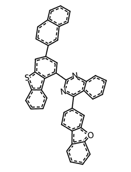 c1ccc2cc(-c3cc(-c4nc(-c5ccc6c(c5)oc5ccccc56)c5ccccc5n4)c4c(c3)sc3ccccc34)ccc2c1